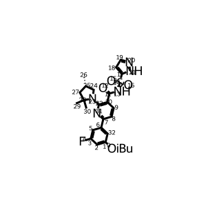 CC(C)COc1cc(F)cc(-c2ccc(C(=O)NS(=O)(=O)c3ccn[nH]3)c(N3C[C@@H](C)CC3(C)C)n2)c1